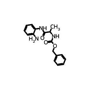 CC(NC(=O)OCc1ccccc1)C(=O)Nc1ccccc1N